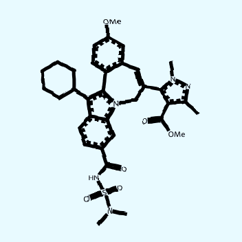 COC(=O)c1c(C)nn(C)c1C1=Cc2cc(OC)ccc2-c2c(C3CCCCC3)c3ccc(C(=O)NS(=O)(=O)N(C)C)cc3n2C1